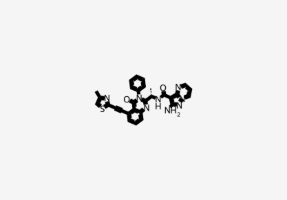 Cc1csc(C#Cc2cccc3nc([C@H](C)NC(=O)c4c(N)nn5cccnc45)n(-c4ccccc4)c(=O)c23)n1